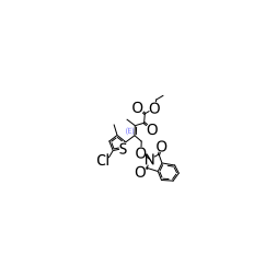 CCOC(=O)C(=O)/C(C)=C(\CON1C(=O)c2ccccc2C1=O)c1sc(Cl)cc1C